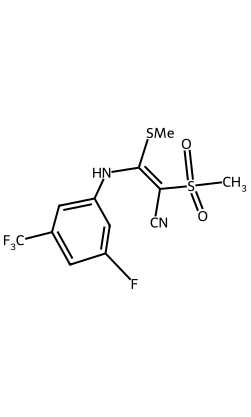 CSC(Nc1cc(F)cc(C(F)(F)F)c1)=C(C#N)S(C)(=O)=O